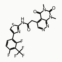 Cn1c(=O)c2c(CC(=O)Nc3nc(-c4ccc(F)c(C(F)(F)F)c4F)cs3)cnnc2n(C)c1=O